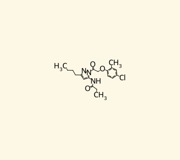 CCCCc1cc(NC(=O)CC)n(C(=O)COc2ccc(Cl)cc2C)n1